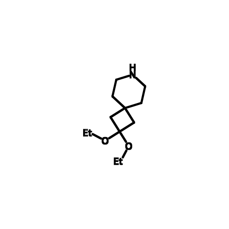 CCOC1(OCC)CC2(CCNCC2)C1